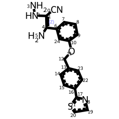 N#C/C(NN)=C(/N)c1cccc(OCc2ccc(-c3nccs3)cc2)c1